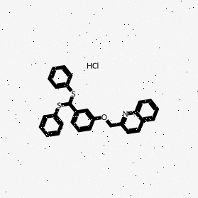 Cl.c1ccc(SC(Sc2ccccc2)c2cccc(OCc3ccc4ccccc4n3)c2)cc1